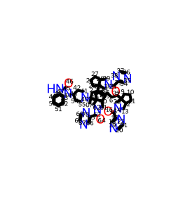 CC(CC(CCCCC12CCCC1CN(C(=O)c1cnccn1)C2)C12CCCC1CN(C(=O)c1cnccn1)C2)(N1CCC(n2c(=O)[nH]c3ccccc32)CC1)C12CCCC1CN(C(=O)c1cnccn1)C2